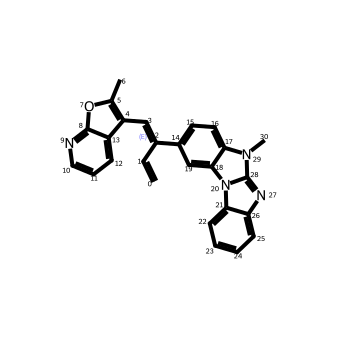 C=C/C(=C\c1c(C)oc2ncccc12)c1ccc2c(c1)n1c3ccccc3nc1n2C